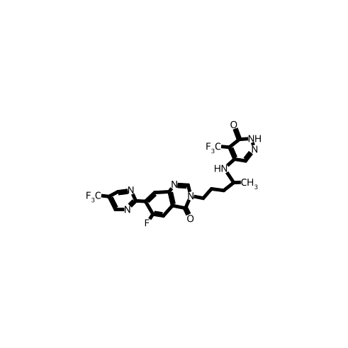 CC(CCCn1cnc2cc(-c3ncc(C(F)(F)F)cn3)c(F)cc2c1=O)Nc1cn[nH]c(=O)c1C(F)(F)F